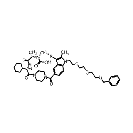 Cc1c(F)c2cc(C(=O)N3CCN(C(=O)[C@@H](NC(=O)[C@H](C)N(C)C(=O)O)C4CCCCC4)CC3)ccc2n1CCOCCOCCOCc1ccccc1